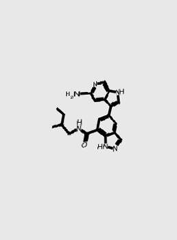 CCC(C)CNC(=O)c1cc(-c2c[nH]c3cnc(N)cc23)cc2cn[nH]c12